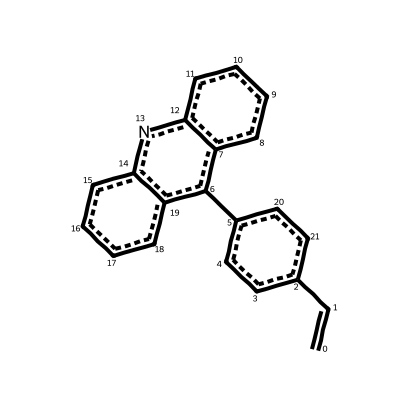 C=Cc1ccc(-c2c3ccccc3nc3ccccc23)cc1